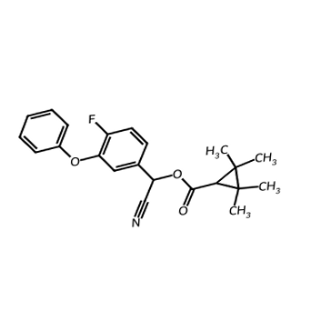 CC1(C)C(C(=O)OC(C#N)c2ccc(F)c(Oc3ccccc3)c2)C1(C)C